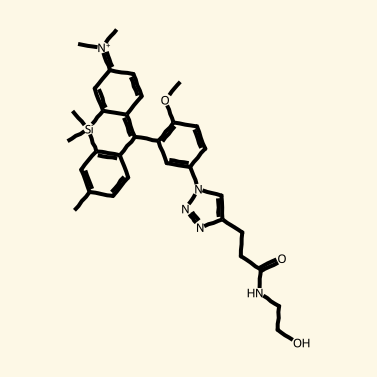 COc1ccc(-n2cc(CCC(=O)NCCO)nn2)cc1C1=C2C=CC(=[N+](C)C)C=C2[Si](C)(C)c2cc(C)ccc21